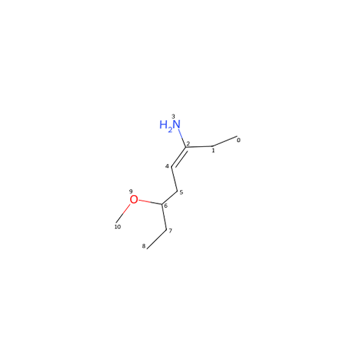 CC/C(N)=C\CC(CC)OC